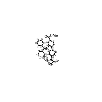 COC(=O)c1ccc2c3ncc(-c4c(Br)nnn4C)cc3n(C(c3ccccc3)C3CCOCC3)c2c1